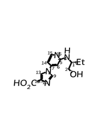 CC[C@@H](CO)Nc1cc(-n2cnc(C(=O)O)c2)ccn1